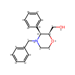 OC[C@H]1OCCN(Cc2ccccc2)[C@H]1c1ccccc1